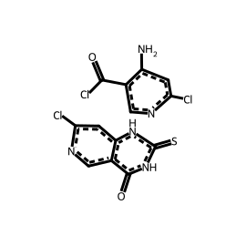 Nc1cc(Cl)ncc1C(=O)Cl.O=c1[nH]c(=S)[nH]c2cc(Cl)ncc12